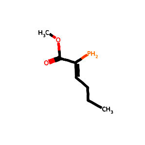 CCCC=C(P)C(=O)OC